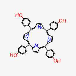 Oc1ccc(C2=C3C=CC(=N3)C(c3ccc(O)cc3)=C3C=CC(=N3)C(c3ccc(O)cc3)=C3C=CC(=N3)C(c3ccc(O)cc3)=C3C=CC2=N3)cc1